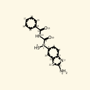 Nc1nc2ccc(N(S)C(=O)NC(=O)c3ccccc3)cc2s1